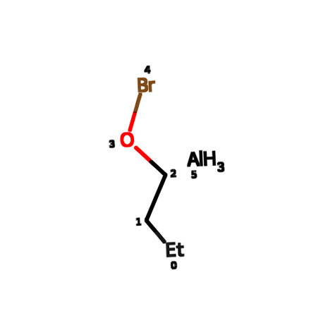 CCCCOBr.[AlH3]